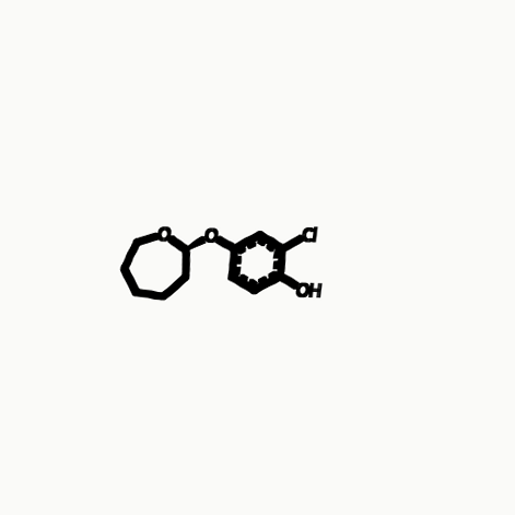 Oc1ccc(O[C@H]2CCCCCO2)cc1Cl